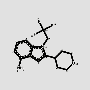 Nc1cccc2c1cc(C1CCOCC1)n2CC(F)(F)F